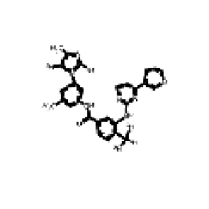 [2H]c1nc(C)c([2H])n1-c1cc(C)cc(NC(=O)c2ccc(C([2H])([2H])[2H])c(Nc3nccc(-c4cccnc4)n3)c2)c1